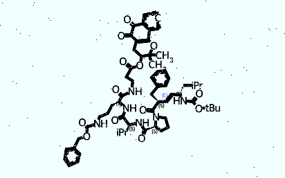 CC(C)C[C@@H](/C=C/[C@H](Cc1ccccc1)C(=O)N1CCC[C@H]1C(=O)N[C@H](C(=O)N[C@@H](CCCNC(=O)OCc1ccccc1)C(=O)NCCC(=O)OC1CC2=C(OC1(C)C)c1ccccc1C(=O)C2=O)C(C)C)NC(=O)OC(C)(C)C